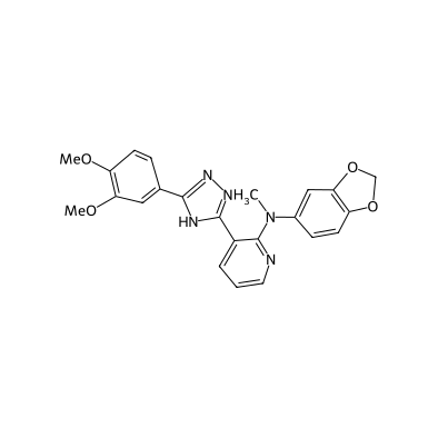 COc1ccc(-c2nnc(-c3cccnc3N(C)c3ccc4c(c3)OCO4)[nH]2)cc1OC